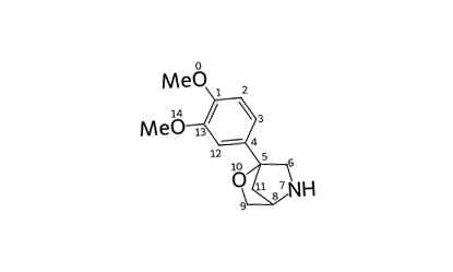 COc1ccc(C23CNC(CO2)C3)cc1OC